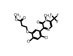 COC(=O)CCOc1cc(-c2ncc(C(F)(F)F)n(C)c2=O)c(Cl)cc1Cl